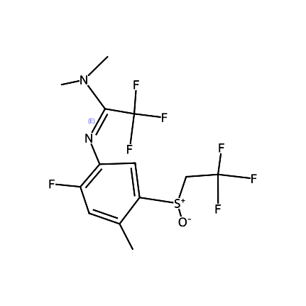 Cc1cc(F)c(/N=C(/N(C)C)C(F)(F)F)cc1[S+]([O-])CC(F)(F)F